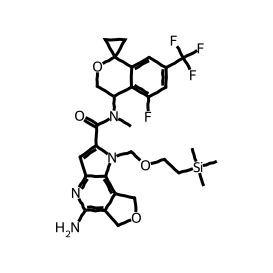 CN(C(=O)c1cc2nc(N)c3c(c2n1COCC[Si](C)(C)C)COC3)C1COC2(CC2)c2cc(C(F)(F)F)cc(F)c21